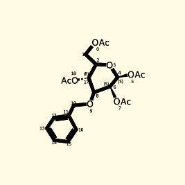 CC(=O)OCC1O[C@@H](OC(C)=O)[C@@H](OC(C)=O)C(OCc2ccccc2)[C@@H]1OC(C)=O